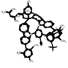 C=C(C)/C=C(C)\C=C(\C)CC1(c2c(C)cc(C)cc2C)c2ccc3c4ccc(-c5c(C)cc(C)cc5C)cc4n(c3c2)-c2cc(C#N)c(-c3cc(C(F)(F)F)cc(C(F)(F)F)c3)cc2-n2c3cc(-c4c(C)cc(C)cc4C)ccc3c3ccc1cc32